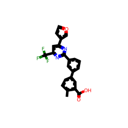 Cc1ccc(-c2cccc(-c3nc(-c4ccoc4)cc(C(F)(F)F)n3)c2)cc1C(=O)O